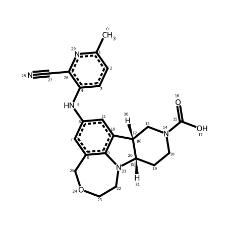 Cc1ccc(Nc2cc3c4c(c2)[C@@H]2CN(C(=O)O)CC[C@@H]2N4CCOC3)c(C#N)n1